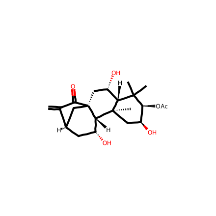 C=C1C(=O)[C@]23C[C@H]1C[C@@H](O)[C@H]2[C@]1(C)C[C@H](O)[C@H](OC(C)=O)C(C)(C)[C@H]1[C@@H](O)C3